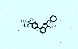 CC1(CC2=Cc3c(-c4ccc([Si](C)(C)C)cc4)cccc3[CH]2[Zr])CCCCC1